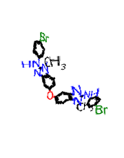 Cn1c(Nc2ccc(Br)cc2)nc2cc(Oc3ccc4c(c3)nc(Nc3ccc(Br)cc3)n4C)ccc21